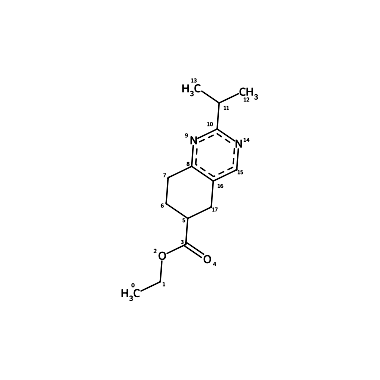 CCOC(=O)C1CCc2nc(C(C)C)ncc2C1